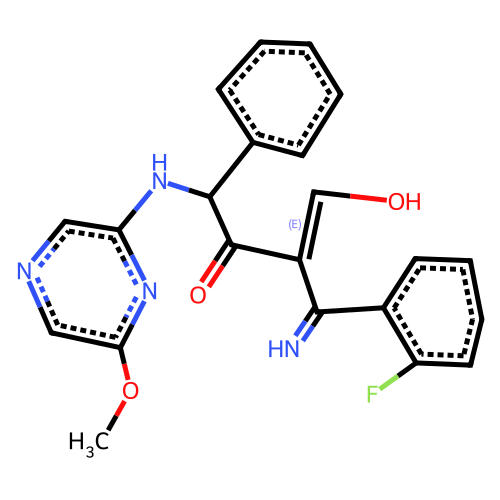 COc1cncc(NC(C(=O)/C(=C/O)C(=N)c2ccccc2F)c2ccccc2)n1